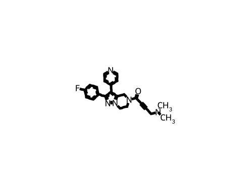 CN(C)CC#CC(=O)N1CCn2nc(-c3ccc(F)cc3)c(-c3ccncc3)c2C1